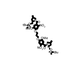 C=C1CC(CO[Si](C)(C)C(C)(C)C)N(C(=O)c2cc(OC)c(OCCCOc3cc([N+](=O)[O-])c(C(=O)N4CC(=C)C[C@H]4CO[Si](C)(C)C(C)(C)C)cc3OC)cc2[N+](=O)[O-])C1